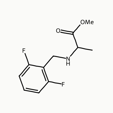 COC(=O)C(C)NCc1c(F)cccc1F